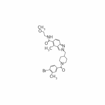 COCCNC(=O)c1ccc2nn(CC3CCN(C(=O)c4ccc(Br)c(C)c4)CC3)cc2c1C